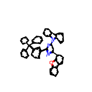 c1ccc(C(c2ccccc2)(c2ccccc2)c2cccc(-c3nc(-c4cccc5c4oc4ccccc45)cc(-n4c5ccccc5c5ccccc54)n3)c2)cc1